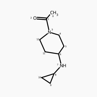 CC(=O)N1CCC(NC2CC2)CC1